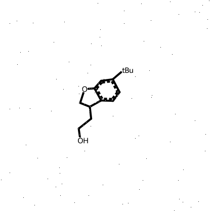 CC(C)(C)c1ccc2c(c1)OCC2CCO